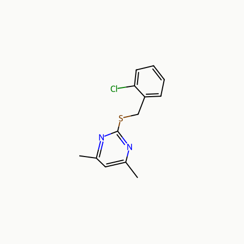 Cc1cc(C)nc(SCc2ccccc2Cl)n1